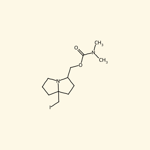 CN(C)C(=O)OCC1CCC2(CI)CCCN12